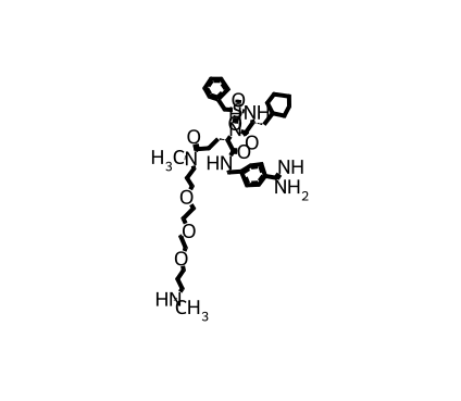 CNCCCOCCOCCOCCCN(C)C(=O)CC[C@H](NC(=O)[C@@H](CC1CCCCC1)NS(=O)(=O)Cc1ccccc1)C(=O)NCc1ccc(C(=N)N)cc1